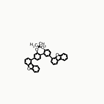 CC1(C)Oc2cc(-c3cccc4oc5ccccc5c34)ccc2-c2cc(-c3cccc4c3oc3ccccc34)ccc2O1